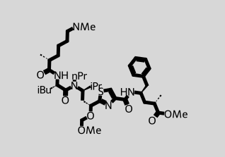 CCCN(C(=O)[C@@H](NC(=O)[C@H](C)CCCCNC)C(C)CC)[C@H](C[C@@H](OCOC)c1nc(C(=O)N[C@@H](Cc2ccccc2)C[C@H](C)C(=O)OC)cs1)C(C)C